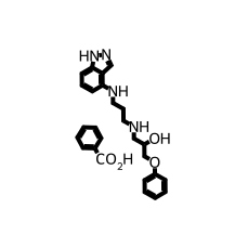 O=C(O)c1ccccc1.OC(CNCCCNc1cccc2[nH]ncc12)COc1ccccc1